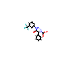 O=C(O)NC(C(=O)Nc1cccc(C(F)(F)F)c1)c1ccccc1